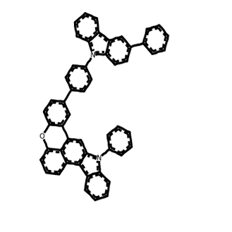 c1ccc(-c2ccc3c(c2)c2ccccc2n3-c2ccc(-c3ccc4c(c3)-c3cc5c(c6cccc(c36)O4)c3ccccc3n5-c3ccccc3)cc2)cc1